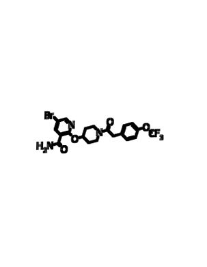 NC(=O)c1cc(Br)cnc1OC1CCN(C(=O)Cc2ccc(OC(F)(F)F)cc2)CC1